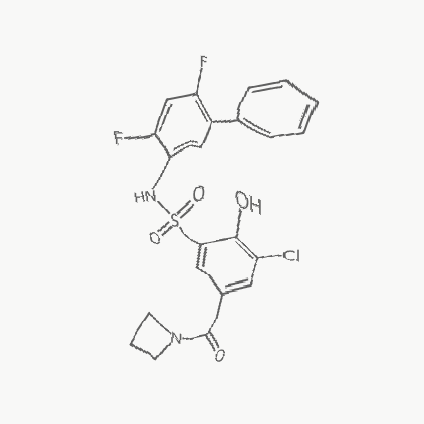 O=C(c1cc(Cl)c(O)c(S(=O)(=O)Nc2cc(-c3ccccc3)c(F)cc2F)c1)N1CCC1